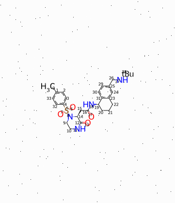 Cc1ccc(S(=O)(=O)N2CCNC(=O)[C@@H]2CC(=O)N[C@@H]2CCCc3cc(CNC(C)(C)C)ccc32)cc1